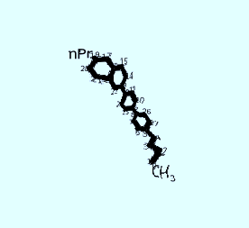 CC=CCCc1ccc(-c2ccc(C3CCC4CC(CCC)CCC4C3)cc2)cc1